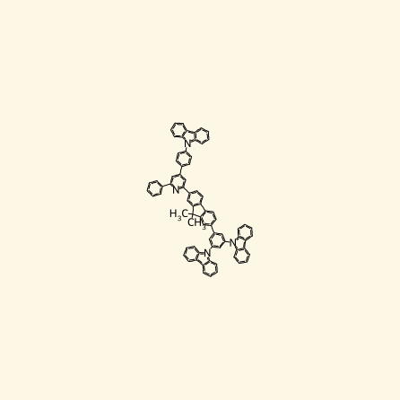 CC1(C)c2cc(-c3cc(-n4c5ccccc5c5ccccc54)cc(-n4c5ccccc5c5ccccc54)c3)ccc2-c2ccc(-c3cc(-c4ccc(-n5c6ccccc6c6ccccc65)cc4)cc(-c4ccccc4)n3)cc21